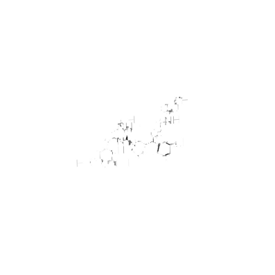 CNC[C@H](C[C@@H]1C[C@@H](C)O[C@@H](C)C1)NC(=O)N1CCC[C@@H]([C@@H](OCCNC(=O)OC)c2cccc(Cl)c2)C1